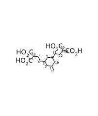 CC1CC(CCC(C(=O)O)C(=O)O)CC(CCC(C(=O)O)C(=O)O)C1